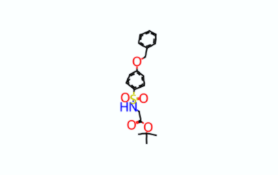 CC(C)(C)OC(=O)CNS(=O)(=O)c1ccc(OCc2ccccc2)cc1